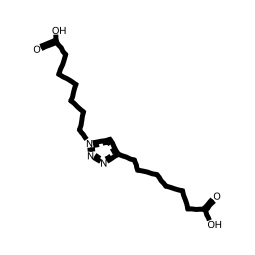 O=C(O)CCCCCCc1cn(CCCCCCC(=O)O)nn1